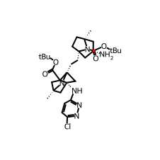 CC(C)(C)OC(=O)N1[C@@]2(C)CC[C@]1(CC[C@@]13C[C@@]4(Nc5ccc(Cl)nn5)C[C@@](C)(CC41)N3C(=O)OC(C)(C)C)C[C@@H](N)C2